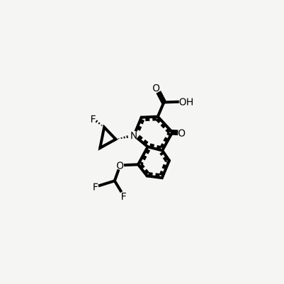 O=C(O)c1cn([C@@H]2C[C@@H]2F)c2c(OC(F)F)cccc2c1=O